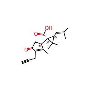 C#CCC1=C(C)[C@H]([C@@]2(C(=O)O)[C@@H](C=C(C)C)C2(C)C)CC1=O